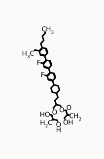 C=C(CO)C(=O)OCC(CCC1CCC(c2ccc(-c3ccc(-c4ccc(CCCCC)c(CC)c4)c(F)c3)c(F)c2)CC1)COC(O)C(=C)CO